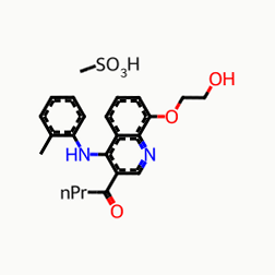 CCCC(=O)c1cnc2c(OCCO)cccc2c1Nc1ccccc1C.CS(=O)(=O)O